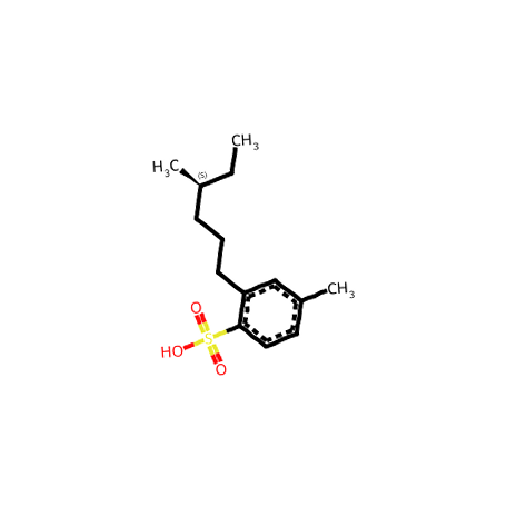 CC[C@H](C)CCCc1cc(C)ccc1S(=O)(=O)O